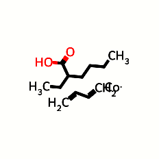 C=CC=C.CCCCC(CC)C(=O)O.[Co]